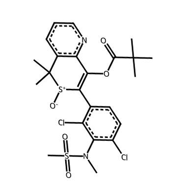 CN(c1c(Cl)ccc(C2=C(OC(=O)C(C)(C)C)c3ncccc3C(C)(C)[S+]2[O-])c1Cl)S(C)(=O)=O